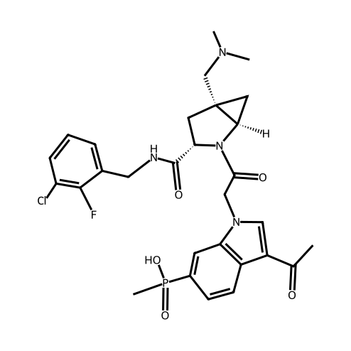 CC(=O)c1cn(CC(=O)N2[C@H](C(=O)NCc3cccc(Cl)c3F)C[C@@]3(CN(C)C)C[C@@H]23)c2cc(P(C)(=O)O)ccc12